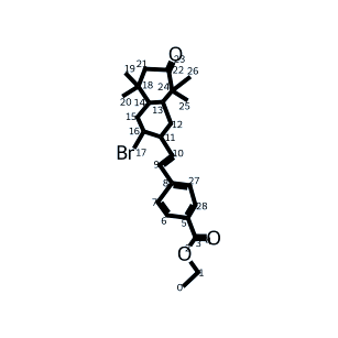 CCOC(=O)c1ccc(/C=C/C2CC3C(CC2Br)C(C)(C)CC(=O)C3(C)C)cc1